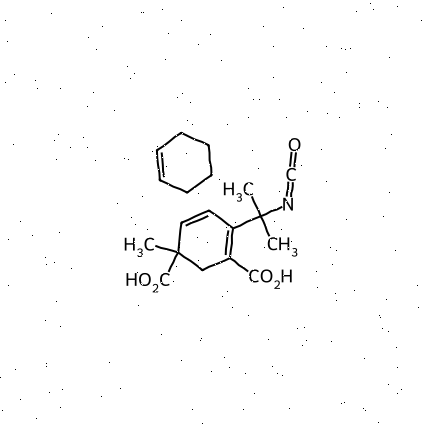 C1=CCCCC1.CC1(C(=O)O)C=CC(C(C)(C)N=C=O)=C(C(=O)O)C1